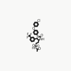 CC(=O)NS(=O)(=O)CCC1NC(=O)N(c2ccc(Oc3ccc(Cl)cc3)cc2)C1c1cccc(C(F)(F)F)c1